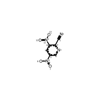 N#Cc1ncc([N+](=O)[O-])cc1[N+](=O)[O-]